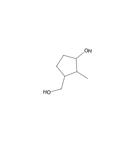 CC1C(O)CCC1CO